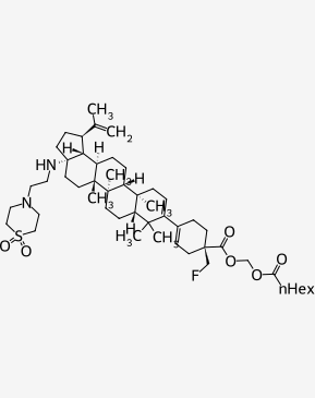 C=C(C)[C@@H]1CC[C@]2(NCCN3CCS(=O)(=O)CC3)CC[C@]3(C)[C@H](CC[C@@H]4[C@@]5(C)CC=C(C6=CC[C@@](CF)(C(=O)OCOC(=O)CCCCCC)CC6)C(C)(C)[C@@H]5CC[C@]43C)[C@@H]12